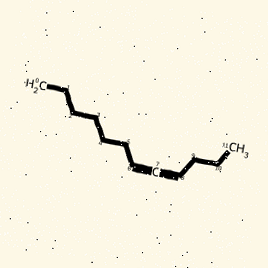 [CH2]CCCCCC=C=CCCC